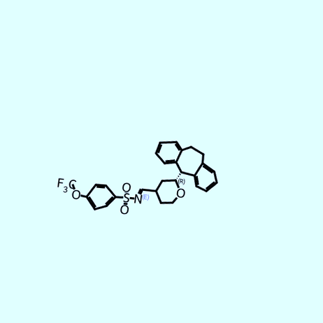 O=S(=O)(/N=C/C1CCO[C@@H](C2c3ccccc3CCc3ccccc32)C1)c1ccc(OC(F)(F)F)cc1